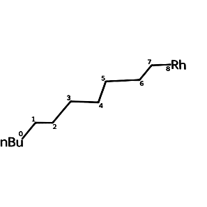 CCCCCCCCCC[CH2][Rh]